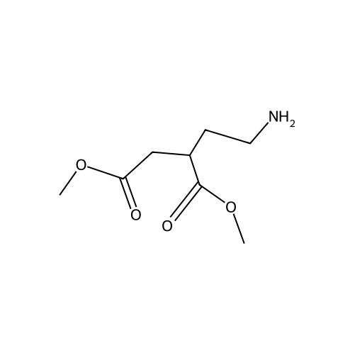 COC(=O)CC(CCN)C(=O)OC